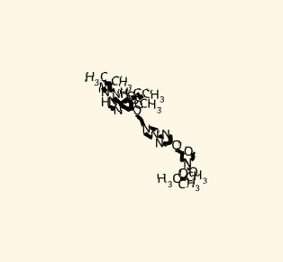 Cc1n[nH]c(Nc2ncnc3cc(OCCCN4CCN(c5ncc(OCC6CN(C(=O)OC(C)(C)C)CCO6)cn5)CC4)c(S(=O)(=O)C(C)(C)C)cc23)c1C